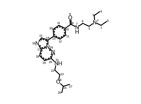 CCN(CC)CCNC(=O)c1ccc(-c2cnc3ccc(NCCOC(C)C)nn23)cc1